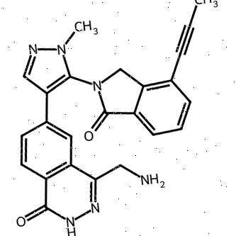 CC#Cc1cccc2c1CN(c1c(-c3ccc4c(=O)[nH]nc(CN)c4c3)cnn1C)C2=O